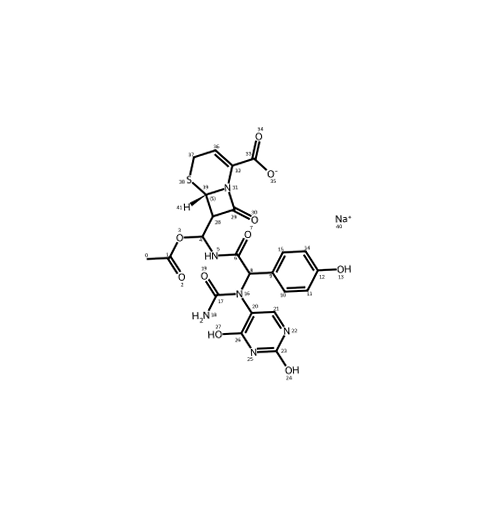 CC(=O)OC(NC(=O)C(c1ccc(O)cc1)N(C(N)=O)c1cnc(O)nc1O)C1C(=O)N2C(C(=O)[O-])=CCS[C@@H]12.[Na+]